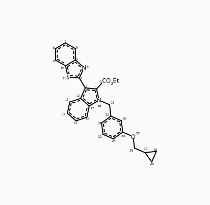 CCOC(=O)c1c(-c2nc3ccccc3s2)c2ccccc2n1Cc1cccc(OCC2CC2)c1